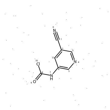 N#Cc1cncc(NC(=O)Cl)c1